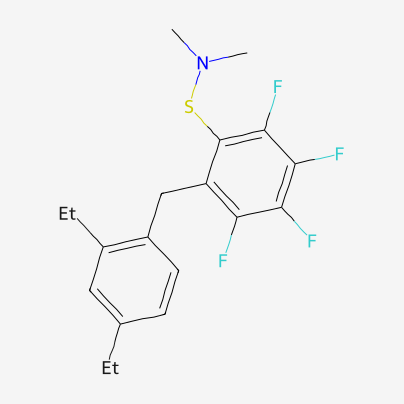 CCc1ccc(Cc2c(F)c(F)c(F)c(F)c2SN(C)C)c(CC)c1